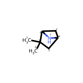 CC1(C)CC2CC1N2